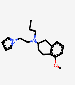 CCCN(CCn1cccc1)C1CCc2c(cccc2OC)C1